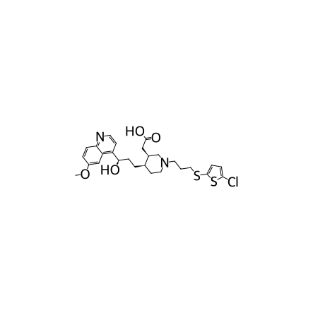 COc1ccc2nccc([C@H](O)CC[C@@H]3CCN(CCCSc4ccc(Cl)s4)C[C@@H]3CC(=O)O)c2c1